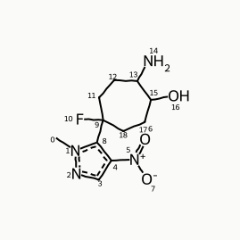 Cn1ncc([N+](=O)[O-])c1C1(F)CCC(N)C(O)CC1